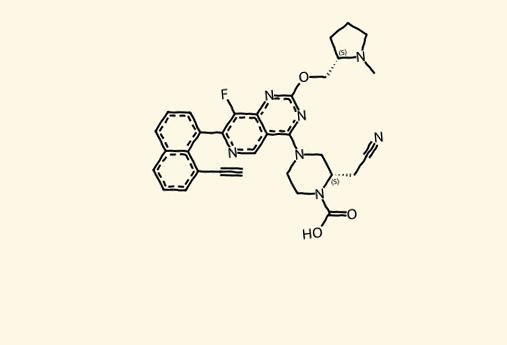 C#Cc1cccc2cccc(-c3ncc4c(N5CCN(C(=O)O)[C@@H](CC#N)C5)nc(OC[C@@H]5CCCN5C)nc4c3F)c12